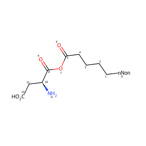 CCCCCCCCCCCCCC(=O)OC(=O)[C@@H](N)CC(=O)O